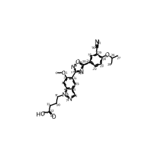 COc1cc2c(cnn2CCCC(=O)O)cc1-c1noc(-c2ccc(OC(C)C)c(C#N)c2)n1